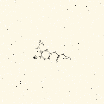 CCC(=O)Cc1ccc(O)c(OC)c1